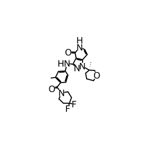 Cc1cc(Nc2nn([C@]3(C)CCCOC3)c3cc[nH]c(=O)c23)ccc1C(=O)N1CCC(F)(F)CC1